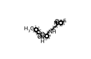 Cc1ccc2sc(S(=O)(=O)Nc3cccc(CNCCCCc4noc5cc(F)ccc45)c3)cc2c1